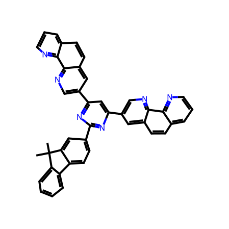 CC1(C)c2ccccc2-c2ccc(-c3nc(-c4cnc5c(ccc6cccnc65)c4)cc(-c4cnc5c(ccc6cccnc65)c4)n3)cc21